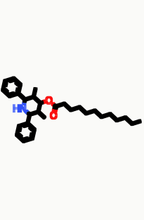 CCCCCCCCCCCC(=O)OC1C(C)C(c2ccccc2)NC(c2ccccc2)C1C